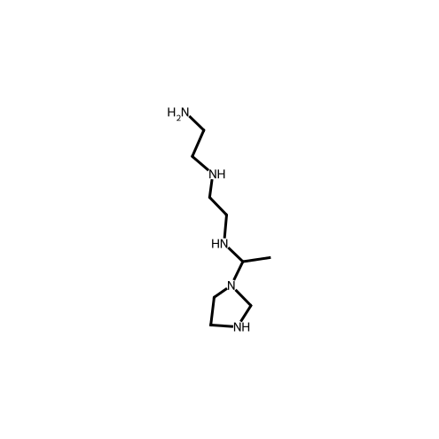 CC(NCCNCCN)N1CCNC1